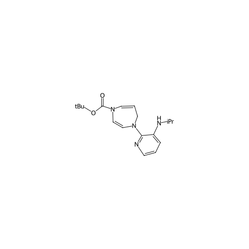 CC(C)Nc1cccnc1N1C=CN(C(=O)OC(C)(C)C)C=CC1